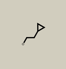 [O]CCC1CC1